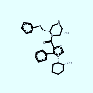 Cl.O=C(c1ncn([C@H]2CCCC[C@H]2O)c1-c1ccccc1)N1CCNC[C@H]1COc1ccccc1